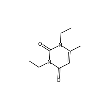 CCn1c(C)cc(=O)n(CC)c1=O